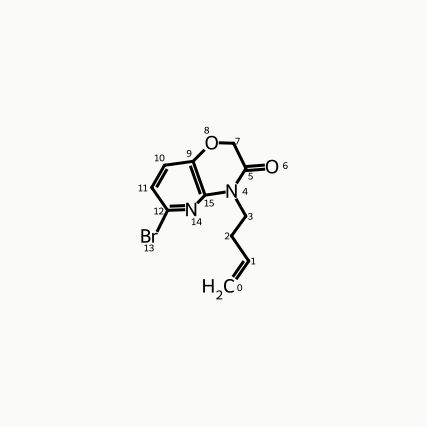 C=CCCN1C(=O)COc2ccc(Br)nc21